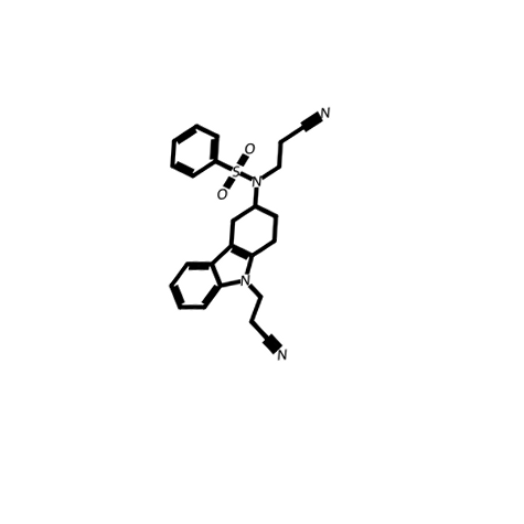 N#CCCN(C1CCc2c(c3ccccc3n2CCC#N)C1)S(=O)(=O)c1ccccc1